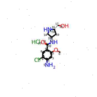 COc1cc(N)c(Cl)cc1C(=O)N[C@@H]1CN[C@H](CO)C1.Cl